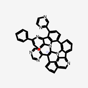 c1ccc(/C(c2ncncn2)=c2\n3c4nccnc4c4cccc(c5ccc(-c6cnccn6)c6c7nc(-c8ccccc8)cnc7n2c56)c43)cc1